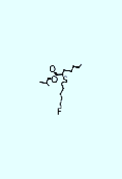 CCCCCC(SCCCCCCF)C(=O)OCC(C)C